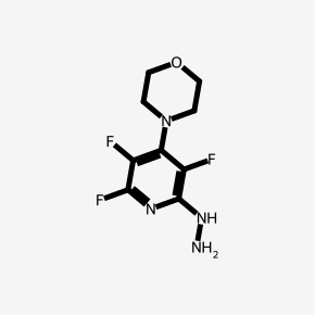 NNc1nc(F)c(F)c(N2CCOCC2)c1F